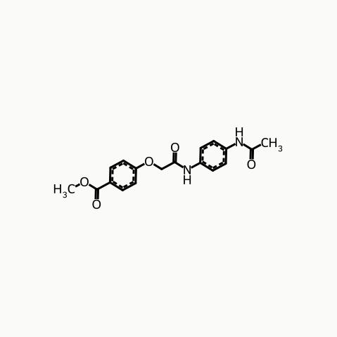 COC(=O)c1ccc(OCC(=O)Nc2ccc(NC(C)=O)cc2)cc1